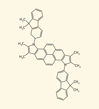 Cc1c(C)n(-c2ccc3c(c2)C(C)(C)c2ccccc2-3)c2c1cc1ccc3c4c(ccc2c14)cc1c(C)c(C)n(C2C=CC4=C(C2)C(C)(C)c2ccccc24)c13